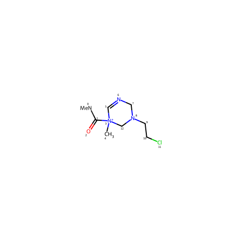 CNC(=O)[N+]1(C)C=NCN(CCCl)C1